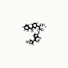 CC(C(=O)OCn1ccc2c(-c3cn[nH]c3)ncnc21)c1cccc(C(=O)c2ccccc2)c1